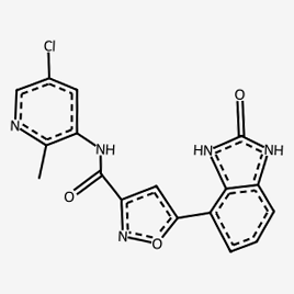 Cc1ncc(Cl)cc1NC(=O)c1cc(-c2cccc3[nH]c(=O)[nH]c23)on1